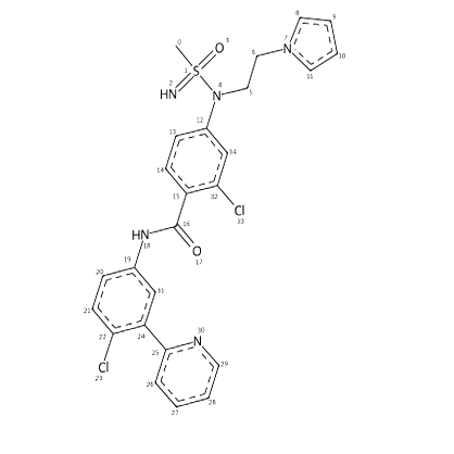 CS(=N)(=O)N(CCn1cccc1)c1ccc(C(=O)Nc2ccc(Cl)c(-c3ccccn3)c2)c(Cl)c1